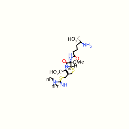 CCCN(CCC)C(=N)SCC1=C(C(=O)O)N2C(=O)[C@](NC(=O)CCCC(N)C(=O)O)(OC)[C@@H]2SC1